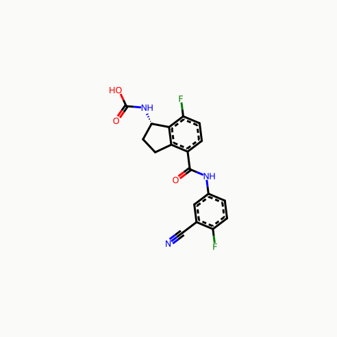 N#Cc1cc(NC(=O)c2ccc(F)c3c2CC[C@@H]3NC(=O)O)ccc1F